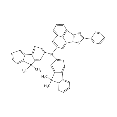 CC1(C)c2ccccc2-c2ccc(N(c3ccc4c(c3)C(C)(C)c3ccccc3-4)c3cc4c5c(cccc5c3)-c3nc(-c5ccccc5)sc3-4)cc21